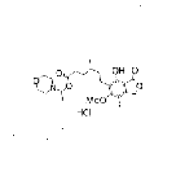 COc1c(C)c2c(c(O)c1CCC(C)CCC(=O)OC(C)N1CCOCC1)C(=O)OC2.Cl